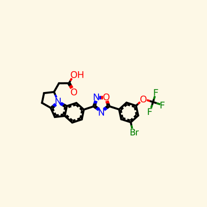 O=C(O)CC1CCc2cc3ccc(-c4noc(-c5cc(Br)cc(OC(F)(F)F)c5)n4)cc3n21